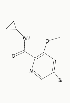 COc1cc(Br)cnc1C(=O)NC1CC1